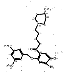 COc1cc(COc2cc(N)c(Cl)cc2C(=O)CCCCN2CCC(OC)CC2)cc(OC)c1.Cl